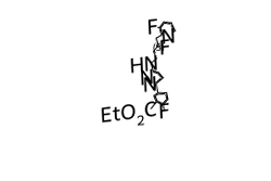 CCOC(=O)c1cc(-c2ccc(NCC[C@H](F)Cc3ncccc3F)nn2)ccc1F